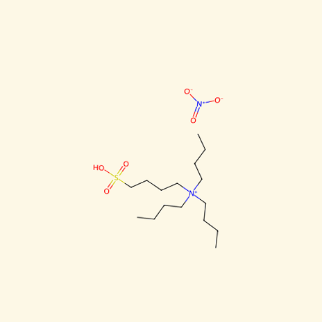 CCCC[N+](CCCC)(CCCC)CCCCS(=O)(=O)O.O=[N+]([O-])[O-]